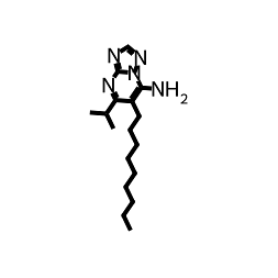 CCCCCCCCCc1c(C(C)C)nc2ncnn2c1N